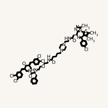 Cc1sc2c(c1C)C(c1ccc(Cl)cc1)=N[C@@H](CC(=O)NCCN1CCN(CCCCC(=O)NCCOCCN[C@@H](Cc3ccccc3)C(=O)N3C/C(=C\c4ccc(Cl)c(Cl)c4)C(=O)/C(=C/c4ccc(Cl)c(Cl)c4)C3)CC1)c1nnc(C)n1-2